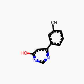 N#Cc1cccc(-c2cc(O)ncn2)c1